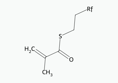 C=C(C)C(=O)SC[CH2][Rf]